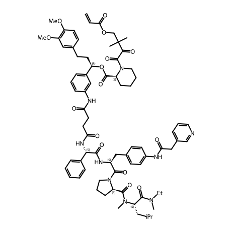 C=CC(=O)OCC(C)(C)C(=O)C(=O)N1CCCC[C@H]1C(=O)O[C@H](CCc1ccc(OC)c(OC)c1)c1cccc(NC(=O)CCC(=O)N[C@H](C(=O)N[C@@H](Cc2ccc(NC(=O)Cc3cccnc3)cc2)C(=O)N2CCC[C@@H]2C(=O)N(C)[C@@H](CC(C)C)C(=O)N(C)CC)c2ccccc2)c1